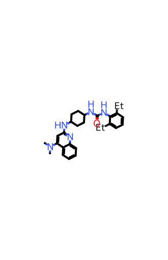 CCc1cccc(CC)c1NC(=O)NC1CCC(Nc2cc(N(C)C)c3ccccc3n2)CC1